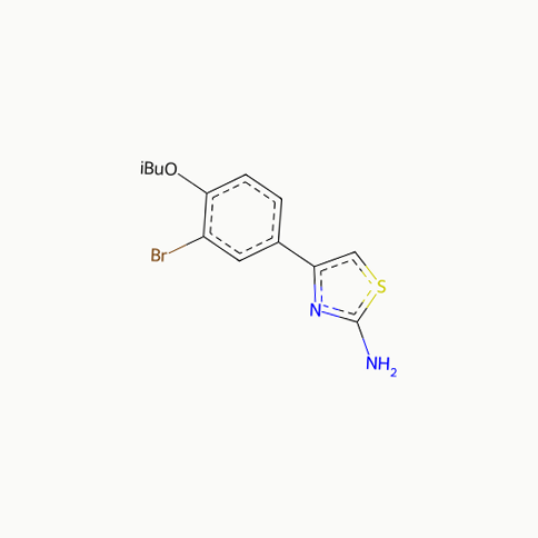 CC(C)COc1ccc(-c2csc(N)n2)cc1Br